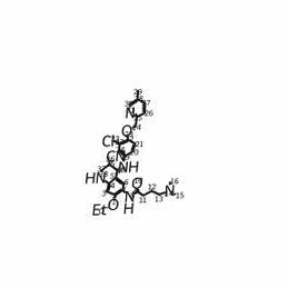 CCOc1cc2c(cc1NC(=O)CCCN(C)C)C(Nc1ccc(OCc3ccc(C)cn3)c(Cl)c1)C(C#N)CN2